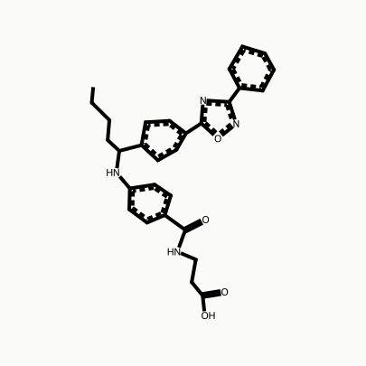 CCCCC(Nc1ccc(C(=O)NCCC(=O)O)cc1)c1ccc(-c2nc(-c3ccccc3)no2)cc1